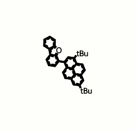 CC(C)(C)c1cc2ccc3c(-c4cccc5c4oc4ccccc45)cc(C(C)(C)C)c4ccc(c1)c2c34